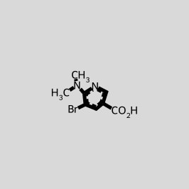 CN(C)c1ncc(C(=O)O)cc1Br